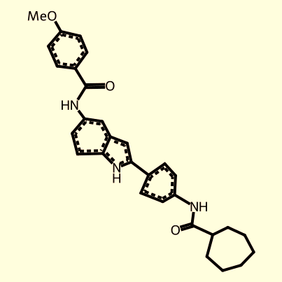 COc1ccc(C(=O)Nc2ccc3[nH]c(-c4ccc(NC(=O)C5CCCCCC5)cc4)cc3c2)cc1